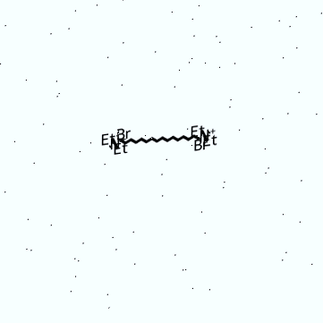 CC[N+](C)(CC)C(Br)CCCCCCCCCCCCCCC(Br)[N+](C)(CC)CC